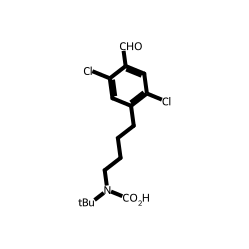 CC(C)(C)N(CCCCc1cc(Cl)c(C=O)cc1Cl)C(=O)O